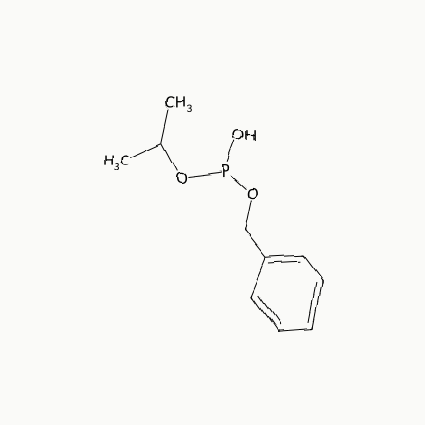 CC(C)OP(O)OCc1ccccc1